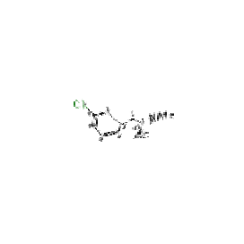 CN[C@@H](CC1C=CC=C(Cl)C1)C(C)=O